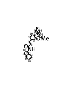 COc1cc(C=CC(=O)NC2CCc3ccccc32)ccc1-n1cncc1Cl